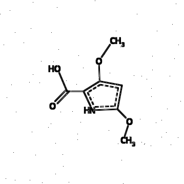 COc1cc(OC)c(C(=O)O)[nH]1